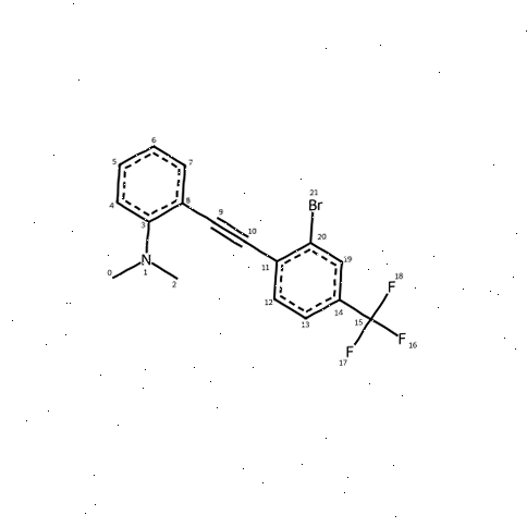 CN(C)c1ccccc1C#Cc1ccc(C(F)(F)F)cc1Br